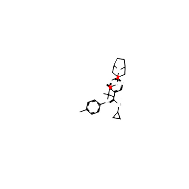 CC(C)(Oc1ccc(Cl)cc1)C(=O)NC1CC2CCC(C1)N2c1ncc(C(=O)NC2CC2)cn1